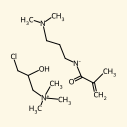 C=C(C)C(=O)[N-]CCCN(C)C.C[N+](C)(C)CC(O)CCl